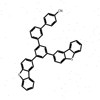 N#Cc1ccc(-c2cccc(-c3cc(-c4ccc5sc6ccccc6c5c4)cc(-c4ccc5sc6ccccc6c5c4)c3)c2)cc1